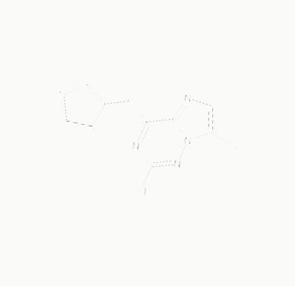 Clc1nc(OC2CCCC2)c2ncc(Br)n2n1